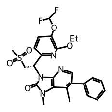 CCOc1nc([C@@H](CS(C)(=O)=O)n2c(=O)n(C)c3c(C)c(-c4ccccc4)cnc32)ccc1OC(F)F